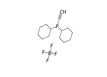 C#CP(C1CCCCC1)C1CCCCC1.F[B-](F)(F)F